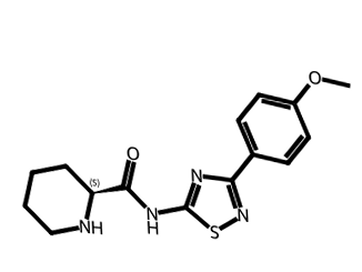 COc1ccc(-c2nsc(NC(=O)[C@@H]3CCCCN3)n2)cc1